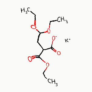 CCOC(=O)C(CC(OCC)OCC)C(=O)[O-].[K+]